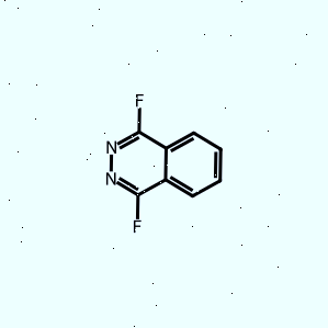 Fc1nnc(F)c2ccccc12